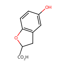 O=C(O)C1Cc2cc(O)ccc2O1